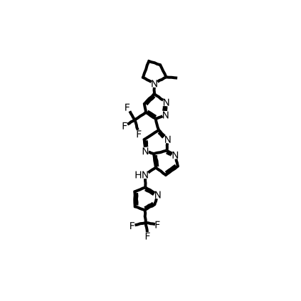 CC1CCCN1c1cc(C(F)(F)F)c(-c2cnc3c(Nc4ccc(C(F)(F)F)cn4)ccnc3n2)nn1